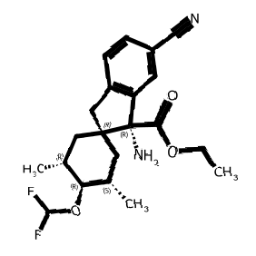 CCOC(=O)[C@]1(N)c2cc(C#N)ccc2C[C@@]12C[C@@H](C)[C@H](OC(F)F)[C@@H](C)C2